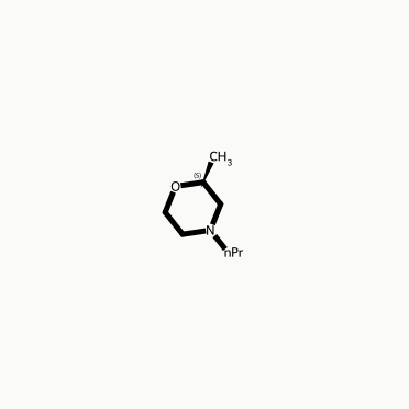 CCCN1CCO[C@@H](C)C1